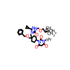 CCCN1C(=O)CC(=O)N(C2CCC(COCc3ccccc3)(Cn3c(C4CC4)nn(COCC[Si](C)(C)C)c3=O)CC2)C1=O